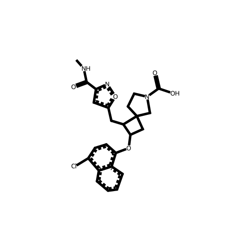 CNC(=O)c1cc(CC2C(Oc3ccc(Cl)c4ccccc34)CC23CCN(C(=O)O)C3)on1